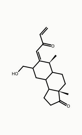 C=CC(=O)/C=C1/C(CO)CC2C(CC[C@]3(C)C(=O)CCC23)[C@@H]1C